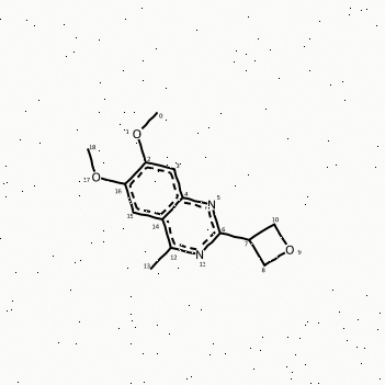 COc1cc2nc(C3COC3)nc(C)c2cc1OC